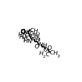 C=C(C)C(=O)OCCNC(=O)CCNC(=N)C(C)(C)C(C)(C)C(=CC)N1CCCC1=O